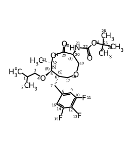 CC(C)CO[C@@H]1[C@@H](Cc2cc(F)c(F)c(F)c2)COC[C@H](NC(=O)OC(C)(C)C)C(=O)O[C@H]1C